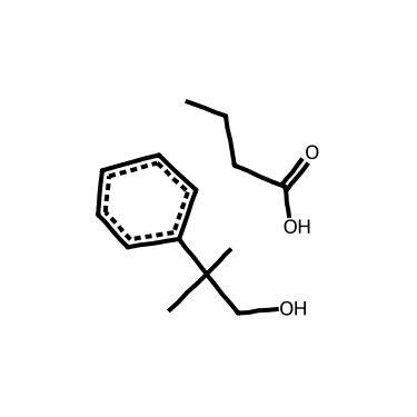 CC(C)(CO)c1ccccc1.CCCC(=O)O